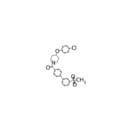 CS(=O)(=O)c1cccc(-c2ccc(C(=O)N3CCC(Oc4ccc(Cl)cc4)CC3)cc2)c1